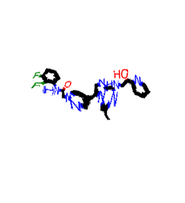 Cc1cn2c(-c3cnn(CC(=O)Nc4cccc(F)c4F)c3)cnc2c(NCC(O)c2ccccn2)n1